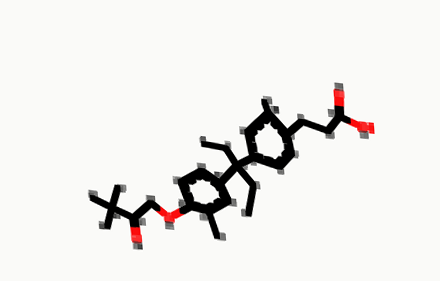 CCC(CC)(c1ccc(CCC(=O)O)c(C)c1)c1ccc(OCC(=O)C(C)(C)C)c(C)c1